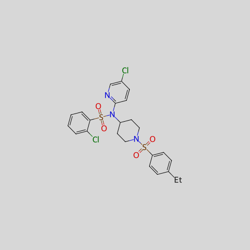 CCc1ccc(S(=O)(=O)N2CCC(N(c3ccc(Cl)cn3)S(=O)(=O)c3ccccc3Cl)CC2)cc1